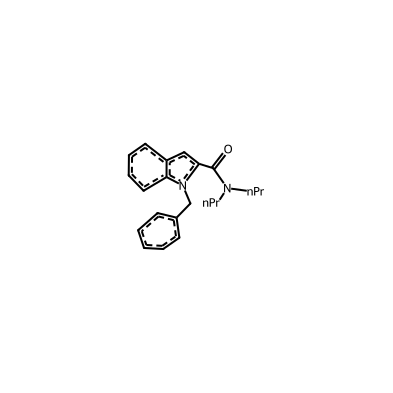 CCCN(CCC)C(=O)c1cc2ccccc2n1Cc1ccccc1